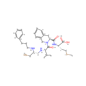 CSCC[C@H](NC(=O)[C@@H]1Cc2ccccc2CN1C(=O)[C@@H](NC[C@H](CS)NCCCc1ccccc1)C(C)C)C(=O)O